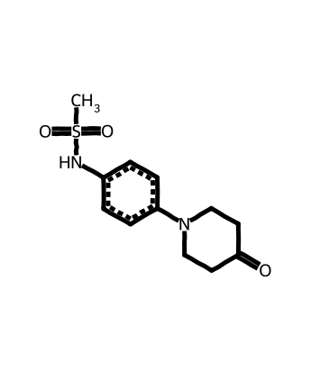 CS(=O)(=O)Nc1ccc(N2CCC(=O)CC2)cc1